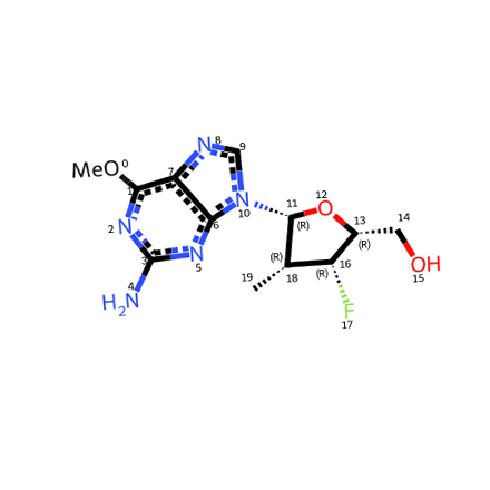 COc1nc(N)nc2c1ncn2[C@@H]1O[C@H](CO)[C@H](F)[C@@H]1C